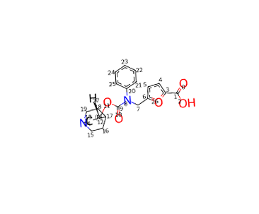 O=C(O)c1ccc(CN(C(=O)O[C@H]2CN3CCC2CC3)c2ccccc2)o1